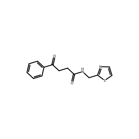 O=C(CCC(=O)c1ccccc1)NCc1nccs1